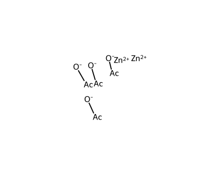 CC(=O)[O-].CC(=O)[O-].CC(=O)[O-].CC(=O)[O-].[Zn+2].[Zn+2]